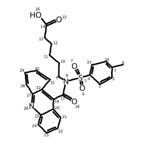 Cc1ccc(S(=O)(=O)N(CCCCCC(=O)O)C(=O)c2c3ccccc3nc3ccccc23)cc1